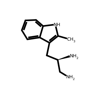 Cc1[nH]c2ccccc2c1C[C@@H](N)CN